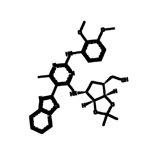 COc1cccc(Nc2nc(C)c(-c3nc4ccccc4s3)c(N[C@@H]3C[C@H](CO)[C@H]4OC(C)(C)O[C@H]43)n2)c1OC